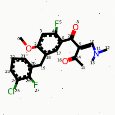 COc1cc(F)c(C(=O)C(=CN(C)C)C(C)=O)cc1Cc1cccc(Cl)c1F